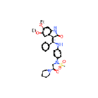 CCOc1cc2c(cc1OCC)/C(=C(/Nc1ccc(N(CC(=O)N3CCCCC3)S(C)(=O)=O)cc1)c1ccccc1)C(=O)N2